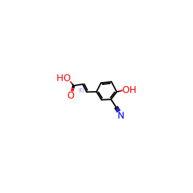 N#Cc1cc(/C=C/C(=O)O)ccc1O